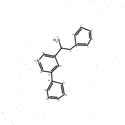 NC(Cc1ccccc1)c1cncc(-c2ccccc2)c1